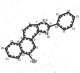 Brc1cc2c(ccc3sc(-c4ccccc4)nc32)c2ccccc12